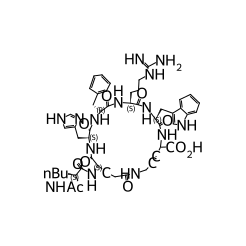 CCCC[C@H](NC(C)=O)C(=O)N[C@H]1CCC(=O)NCCCC(C(=O)O)NC(=O)[C@H](Cc2c[nH]c3ccccc23)NC(=O)[C@H](CCCNC(=N)N)NC(=O)[C@@H](Cc2ccccc2)NC(=O)[C@H](Cc2c[nH]cn2)NC1=O